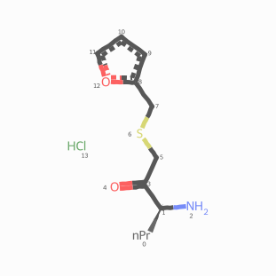 CCC[C@H](N)C(=O)CSCc1ccco1.Cl